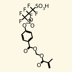 C=C(C)C(=O)OCOC(=O)c1ccc(OS(=O)(=O)C(F)(F)C(F)(F)C(F)(F)S(=O)(=O)O)cc1